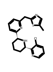 Cc1cnc(Cc2cccc([C@H]3CCC[C@@H](c4ncccc4Cl)N3)n2)s1